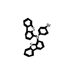 Brc1ccc(N(c2cccc3c2sc2ccccc23)c2cccc3c2sc2ccccc23)cc1